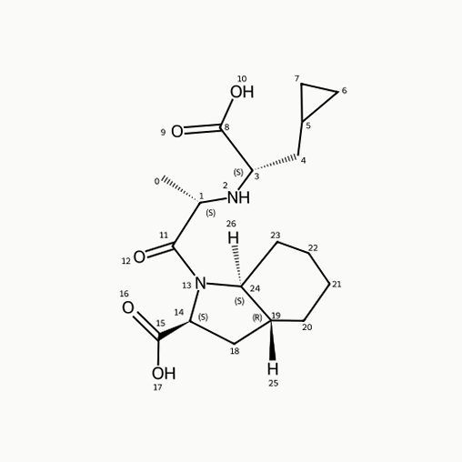 C[C@H](N[C@@H](CC1CC1)C(=O)O)C(=O)N1[C@H](C(=O)O)C[C@H]2CCCC[C@@H]21